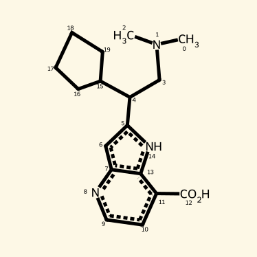 CN(C)CC(c1cc2nccc(C(=O)O)c2[nH]1)C1CCCC1